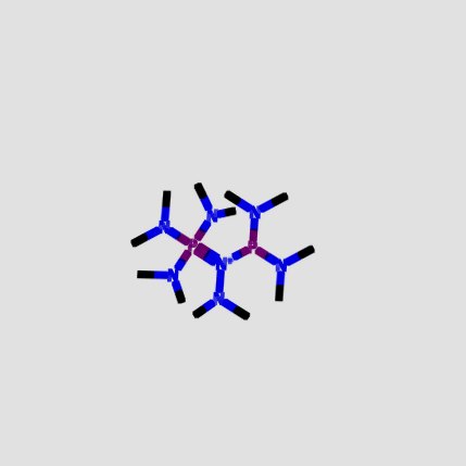 CN(C)[N+](P(N(C)C)N(C)C)=P(N(C)C)(N(C)C)N(C)C